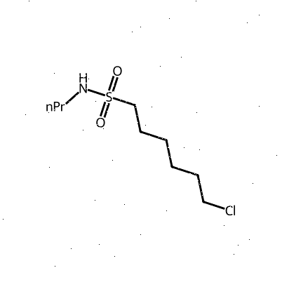 CCCNS(=O)(=O)CCCCCCCl